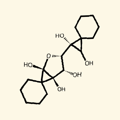 OC1C2(CCCCC2)[C@]1(O)[C@H]1O[C@@]2(O)C3(CCCCC3)[C@@]2(O)[C@H]1O